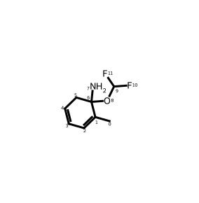 CC1=CC=CCC1(N)OC(F)F